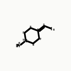 CC(C)N1CCC(=CI)CC1